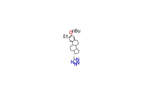 CCCCOc1cc2c(cc1CC)C1CC[C@@]3(C)C(CC[C@@H]3Cc3nnnn3C)C1CC2